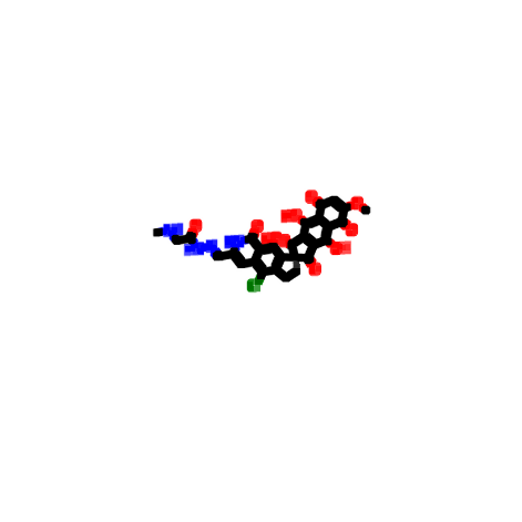 CNCC(=O)NN=Cc1cc2c(Cl)c3c(c(O)c2c(=O)[nH]1)[C@@]1(CC3)C(=O)c2c(O)c3c(c(O)c2C1=O)C(=O)C(OC)=CC3=O